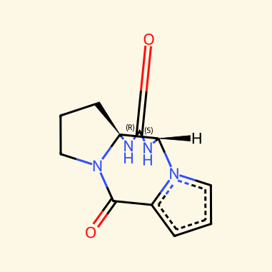 O=C1N[C@H]2n3cccc3C(=O)N3CCC[C@]23N1